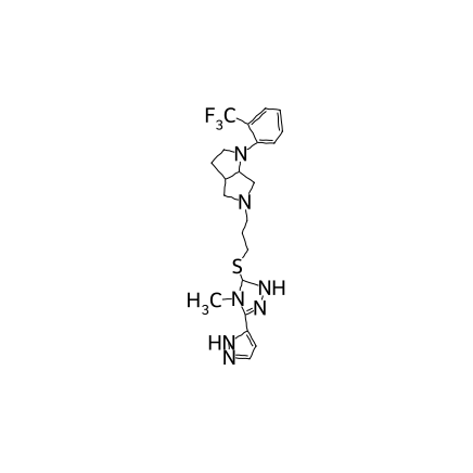 CN1C(c2ccn[nH]2)=NNC1SCCCN1CC2CCN(c3ccccc3C(F)(F)F)C2C1